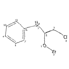 CCOC(CCl)[SiH2]c1ccccc1